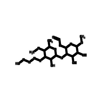 COC1OC(OC=O)C(OC2OC(C)C(OC)C(SOOOO)C2O)C(O)C1O